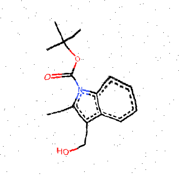 Cc1c(CO)c2ccccc2n1C(=O)OC(C)(C)C